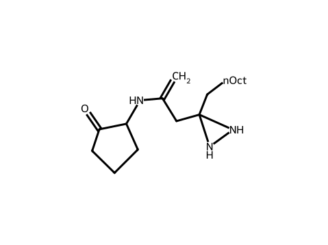 C=C(CC1(CCCCCCCCC)NN1)NC1CCCC1=O